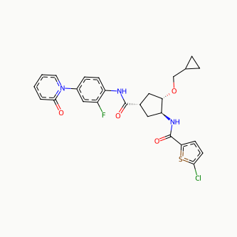 O=C(N[C@H]1C[C@H](C(=O)Nc2ccc(-n3ccccc3=O)cc2F)C[C@@H]1OCC1CC1)c1ccc(Cl)s1